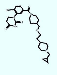 O=C1CCN(c2cc(C(=O)N3CCC(COCCC4CCN(CC5CC5)CC4)CC3)ccc2Cl)C(=O)N1